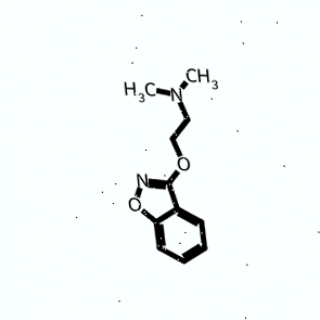 CN(C)CCOc1noc2ccccc12